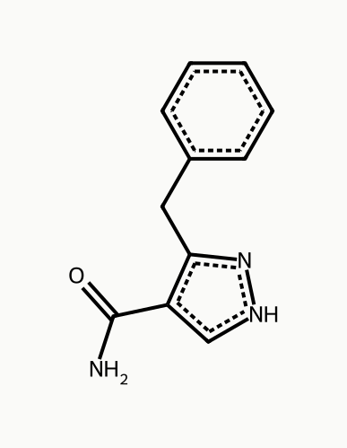 NC(=O)c1c[nH]nc1Cc1ccccc1